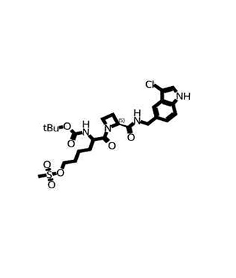 CC(C)(C)OC(=O)NC(CCCCOS(C)(=O)=O)C(=O)N1CC[C@H]1C(=O)NCc1ccc2[nH]cc(Cl)c2c1